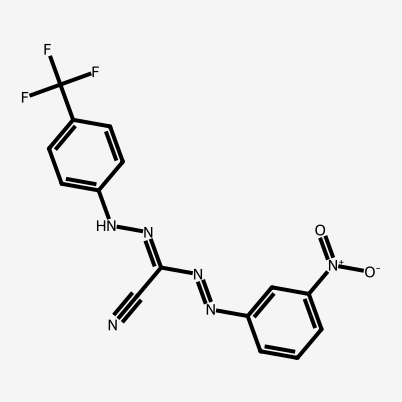 N#CC(/N=N/c1cccc([N+](=O)[O-])c1)=N\Nc1ccc(C(F)(F)F)cc1